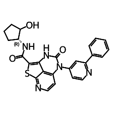 O=C(N[C@@H]1CCCC1O)c1sc2nccc3c2c1NC(=O)N3c1ccnc(-c2ccccc2)c1